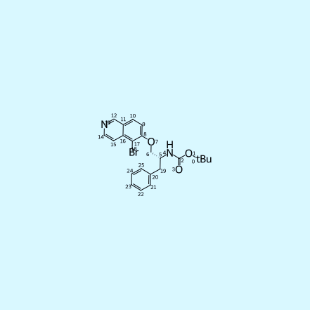 CC(C)(C)OC(=O)N[C@@H](COc1ccc2cnccc2c1Br)Cc1ccccc1